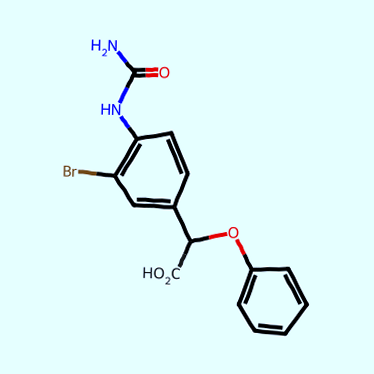 NC(=O)Nc1ccc(C(Oc2ccccc2)C(=O)O)cc1Br